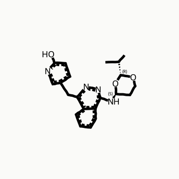 CC(C)[C@@H]1OCC[C@@H](Nc2nnc(Cc3ccc(O)nc3)c3ccccc23)O1